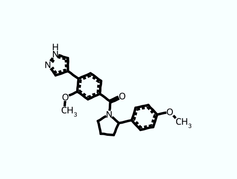 COc1ccc(C2CCCN2C(=O)c2ccc(-c3cn[nH]c3)c(OC)c2)cc1